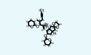 CCC#CCC(C)[C@H](OC1CCCCO1)C(Br)=C[C@@H]1[C@H]2CC3(C[C@H]2C[C@H]1OC1CCCCO1)OCCO3